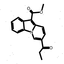 CCC(=O)c1ccc2c(C(=O)OC)c3ccccc3n2c1